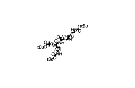 CC(C)(C)OC(=O)NCCn1cc(C[C@H]2NC(=O)[C@H]2NC(=O)/C(=N\OC(C)(C)C(=O)OC(C)(C)C)c2csc(NC(=O)OC(C)(C)C)n2)nn1